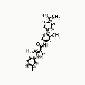 Cc1cc(NC(=O)c2cnn(-c3ccc(F)c(F)c3)c2C)cnc1N1CCC(C(C)O)CC1